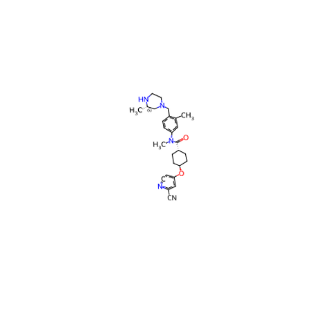 Cc1cc(N(C)C(=O)[C@H]2CC[C@H](Oc3ccnc(C#N)c3)CC2)ccc1CN1CCN[C@@H](C)C1